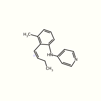 CC/C=C\c1c(C)cccc1Nc1ccncc1